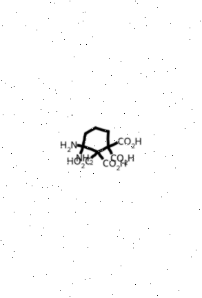 NC1(N)CCCC(C(=O)O)(C(=O)O)C1(C(=O)O)C(=O)O